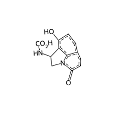 O=C(O)NC1Cn2c(=O)ccc3ccc(O)c1c32